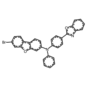 Brc1ccc2c(c1)oc1cc(N(c3ccccc3)c3ccc(-c4nc5ccccc5o4)cc3)ccc12